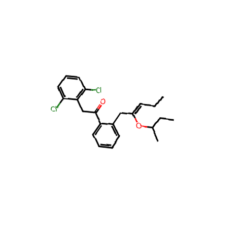 CCC=C(Cc1ccccc1C(=O)Cc1c(Cl)cccc1Cl)OC(C)CC